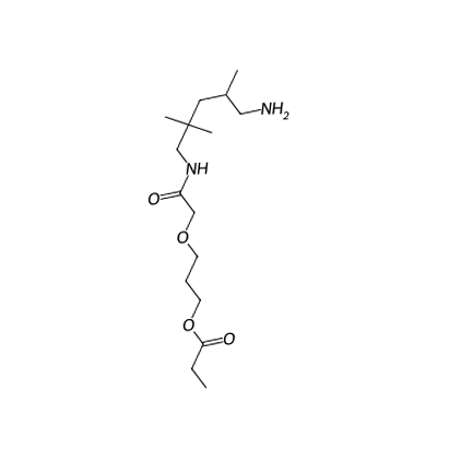 CCC(=O)OCCCOCC(=O)NCC(C)(C)CC(C)CN